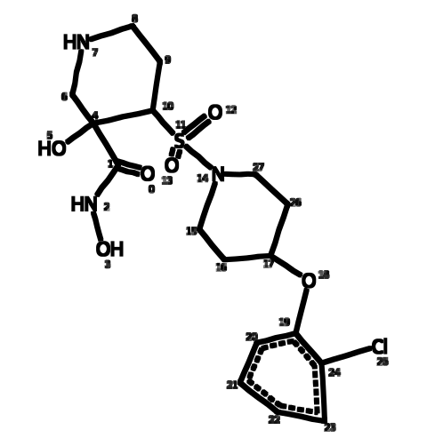 O=C(NO)C1(O)CNCCC1S(=O)(=O)N1CCC(Oc2ccccc2Cl)CC1